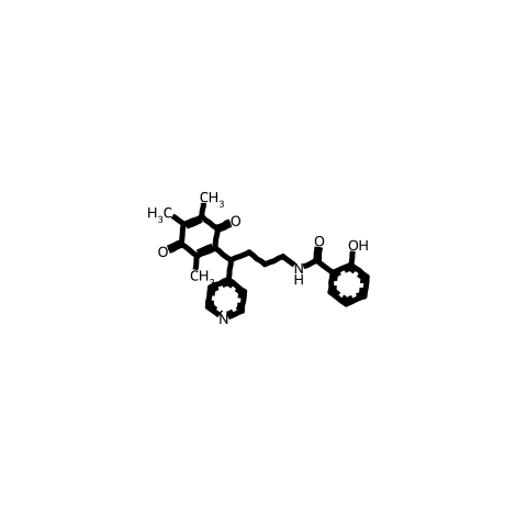 CC1=C(C)C(=O)C(C(CCCNC(=O)c2ccccc2O)c2ccncc2)=C(C)C1=O